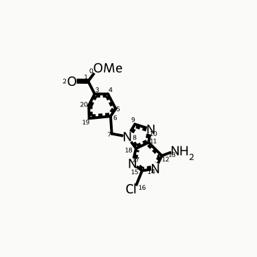 COC(=O)c1ccc(Cn2cnc3c(N)nc(Cl)nc32)cc1